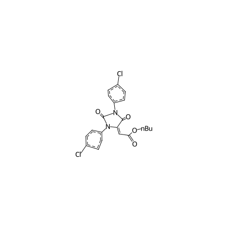 CCCCOC(=O)C=C1C(=O)N(c2ccc(Cl)cc2)C(=O)N1c1ccc(Cl)cc1